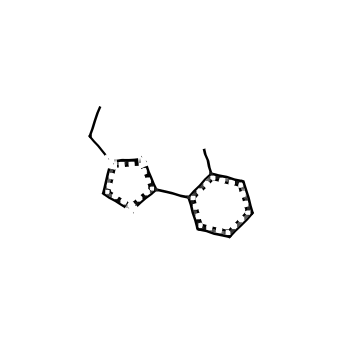 CCn1[c]nc(-c2ccccc2F)n1